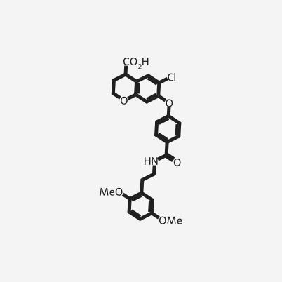 COc1ccc(OC)c(CCNC(=O)c2ccc(Oc3cc4c(cc3Cl)C(C(=O)O)CCO4)cc2)c1